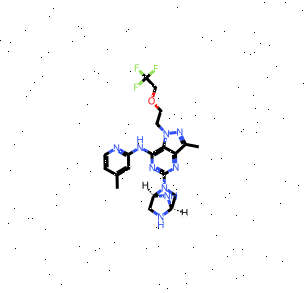 Cc1ccnc(Nc2nc(N3C[C@H]4NC[C@@H]3N4)nc3c(C)nn(CCOCC(F)(F)F)c23)c1